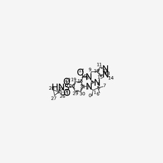 C[C@H]1N2C(=NC1(C)C)N(Cc1cnn(C)c1)C(=O)c1cc(S(=O)(=O)NC3(C)CC3)ccc12